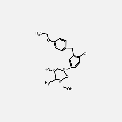 CCOc1ccc(Cc2cc([C@H]3C[C@@H](O)C(C)[C@@H](CO)O3)ccc2Cl)cc1